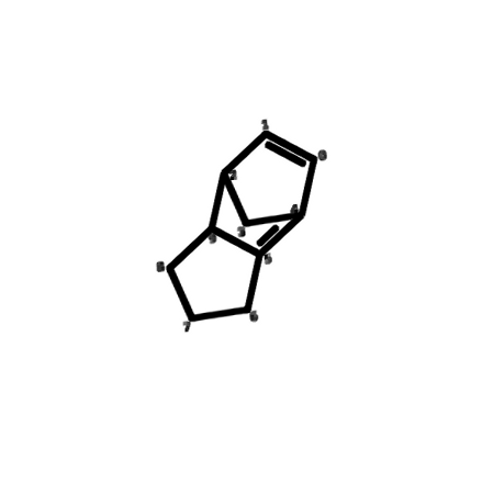 C1=CC2CC1=C1CCCC12